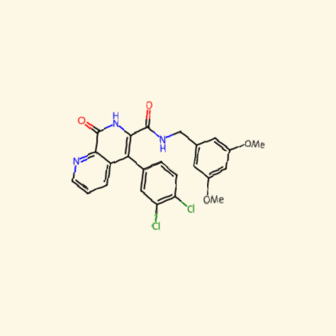 COc1cc(CNC(=O)c2[nH]c(=O)c3ncccc3c2-c2ccc(Cl)c(Cl)c2)cc(OC)c1